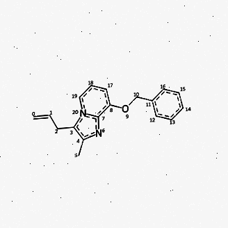 C=CCc1c(C)nc2c(OCc3ccccc3)cccn12